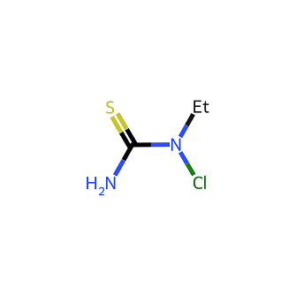 CCN(Cl)C(N)=S